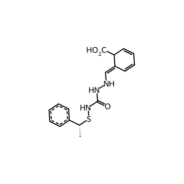 C[C@@H](SNC(=O)NN/C=C1\C=CC=CC1C(=O)O)c1ccccc1